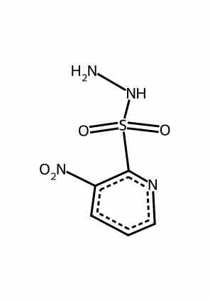 NNS(=O)(=O)c1ncccc1[N+](=O)[O-]